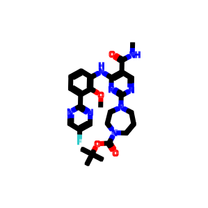 CNC(=O)c1cnc(N2CCCN(C(=O)OC(C)(C)C)CC2)nc1Nc1cccc(-c2ncc(F)cn2)c1OC